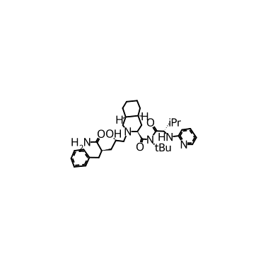 CC(C)[C@H](Nc1ccccn1)C(=O)N(C(=O)[C@@H]1C[C@@H]2CCCC[C@@H]2CN1C[C@@H](O)C[C@@H](Cc1ccccc1)C(N)=O)C(C)(C)C